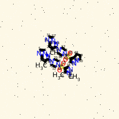 Cc1cc2nccn2nc1N1CCN(S(=O)(=O)c2cnn(C)c2C)CC1.Cc1cc2nccn2nc1N1CCN(S(=O)(=O)c2cnn3c2CCC3)CC1